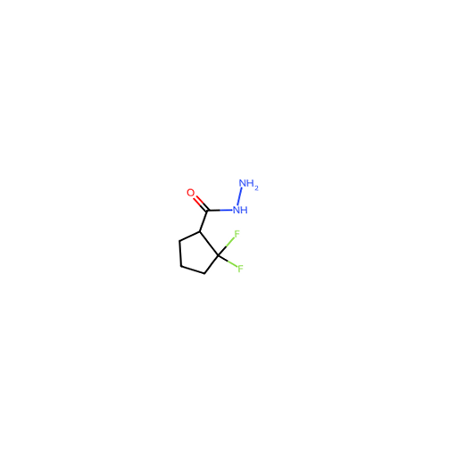 NNC(=O)C1CCCC1(F)F